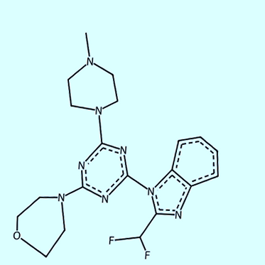 CN1CCN(c2nc(N3CCOCC3)nc(-n3c(C(F)F)nc4ccccc43)n2)CC1